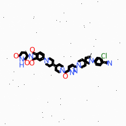 C[C@H]1CC2(CCN(c3ccc(C(=O)N4CCC(C5CCN(c6ccc7c(c6)C(=O)N(C6CCC(=O)NC6=O)C7=O)CC5)CC4)nn3)CC2)CN1c1ccc(C#N)c(Cl)c1